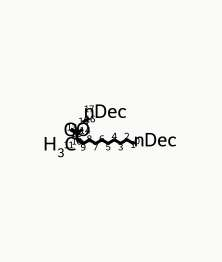 CCCCCCCCCCCCCCCCCCC=C(C)C(=O)OCCCCCCCCCCCC